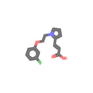 O=C(O)C=Cc1cccn1CCOc1cccc(F)c1